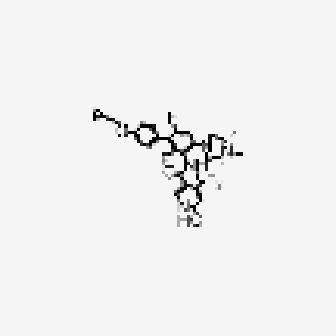 C[C@@H]1CN(c2cc(F)c(-c3ccc(OCC4CC4)cc3)c(F)c2NC(=O)c2c[nH]c(=O)cc2C(F)(F)F)C[C@H](C)N1C